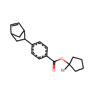 CCC1(OC(=O)c2ccc(C3CC4C=CC3C4)cc2)CCCC1